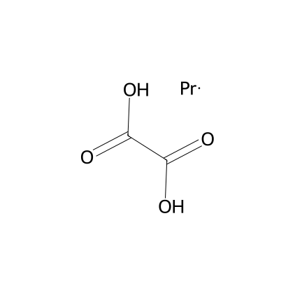 O=C(O)C(=O)O.[Pr]